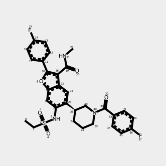 CCS(=O)(=O)Nc1cc2oc(-c3ccc(F)cc3)c(C(=O)NC)c2cc1[C@@H]1CCCN(C(=O)c2ccc(F)cc2)C1